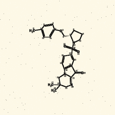 Cc1ccc(OC[C@@H]2CCCN2S(=O)(=O)c2ccc3c(c2)C(=O)C2=NCC(C)(C)CN23)cc1